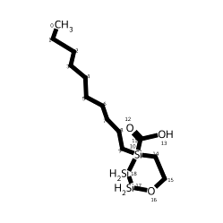 CCCCCCCCCC[Si]1(C(=O)O)CCO[SiH2][SiH2]1